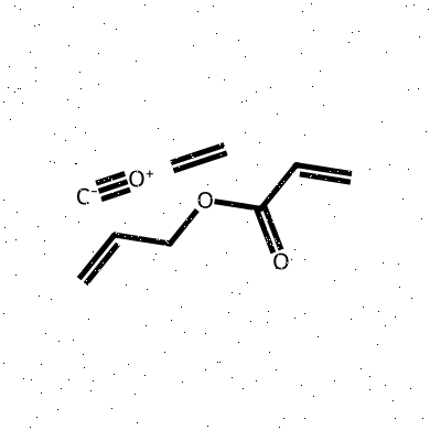 C=C.C=CCOC(=O)C=C.[C-]#[O+]